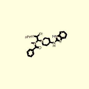 CCCCCC(CC)C(N1CCC(Nc2nc3ccccc3[nH]2)CC1)N(C)C(=O)c1ccccc1